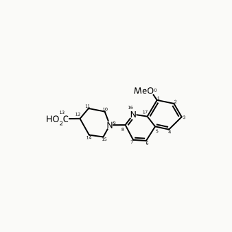 COc1cccc2ccc(N3CCC(C(=O)O)CC3)nc12